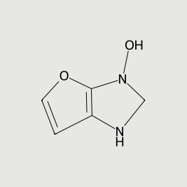 ON1CNc2ccoc21